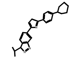 CC(C)C1N=Nc2cc(C3=CCC(c4ccc(C5CCCCC5)cc4)=N3)ccc21